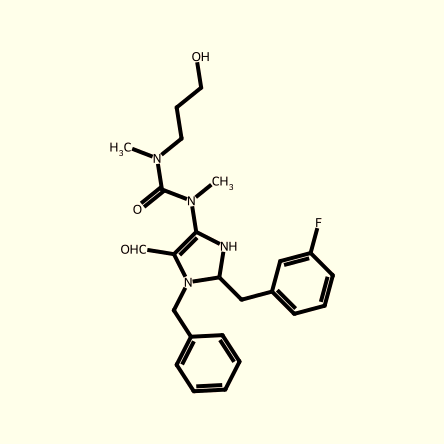 CN(CCCO)C(=O)N(C)C1=C(C=O)N(Cc2ccccc2)C(Cc2cccc(F)c2)N1